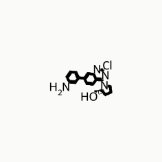 Nc1cccc(-c2ccc3c(N4CCC[C@H]4CO)nc(Cl)nc3c2)c1